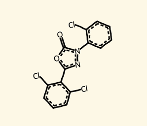 O=c1oc(-c2c(Cl)cccc2Cl)nn1-c1ccccc1Cl